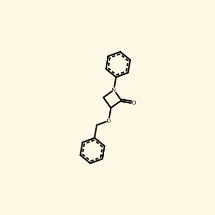 O=C1C(OCc2ccccc2)CN1c1ccccc1